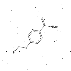 CNC(=O)c1ccc(OCF)cn1